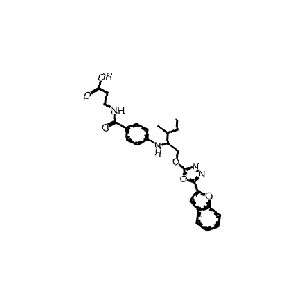 CCC(C)C(COc1nnc(-c2cc3ccccc3o2)o1)Nc1ccc(C(=O)NCCC(=O)O)cc1